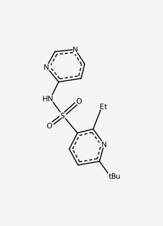 CCc1nc(C(C)(C)C)ccc1S(=O)(=O)Nc1ccncn1